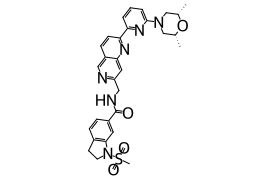 C[C@@H]1CN(c2cccc(-c3ccc4cnc(CNC(=O)c5ccc6c(c5)N(S(C)(=O)=O)CC6)cc4n3)n2)C[C@H](C)O1